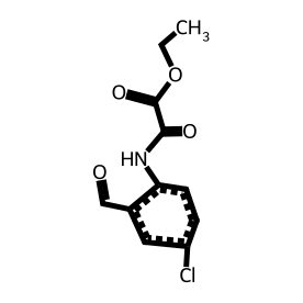 CCOC(=O)C(=O)Nc1ccc(Cl)cc1C=O